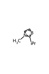 CC(C)c1bccn1C